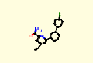 C=Cc1cc(C(N)=O)nc(-c2cccc(-c3ccc(F)cc3)c2)c1